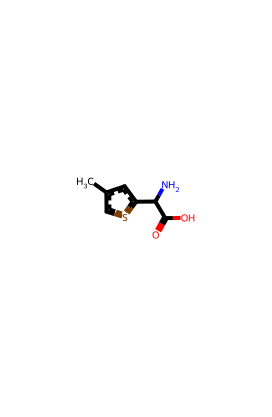 Cc1csc(C(N)C(=O)O)c1